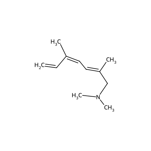 C=C/C(C)=C\C=C(/C)CN(C)C